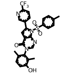 Cc1ccc(S(=O)(=O)n2c(-c3ccc(C(F)(F)F)nc3)cc3c(=O)n(-c4c(C)ccc(O)c4C)cnc32)cc1